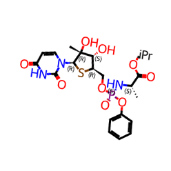 CC(C)OC(=O)[C@H](C)N[P@](=O)(OC[C@H]1S[C@@H](n2ccc(=O)[nH]c2=O)[C@](C)(O)[C@@H]1O)Oc1ccccc1